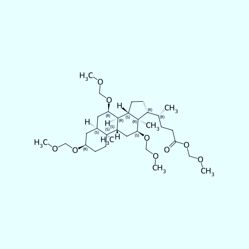 COCOC(=O)CC[C@@H](C)[C@H]1CC[C@H]2[C@@H]3[C@H](OCOC)C[C@@H]4C[C@H](OCOC)CC[C@]4(C)[C@H]3C[C@H](OCOC)[C@]12C